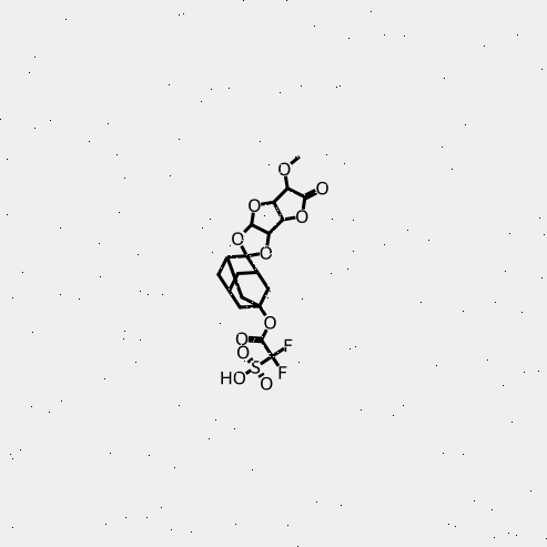 COC1C(=O)OC2C3OC4(OC3OC12)C1CC2CC4CC(OC(=O)C(F)(F)S(=O)(=O)O)(C2)C1